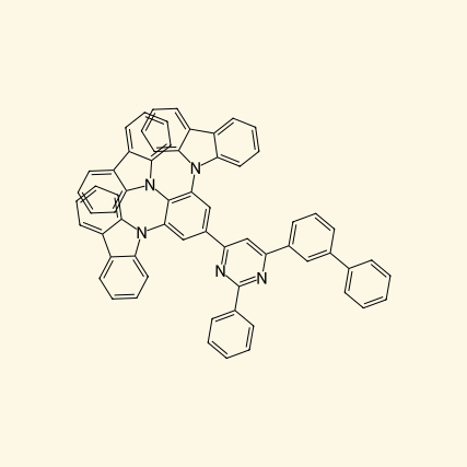 c1ccc(-c2cccc(-c3cc(-c4cc(-n5c6ccccc6c6ccccc65)c(-n5c6ccccc6c6ccccc65)c(-n5c6ccccc6c6ccccc65)c4)nc(-c4ccccc4)n3)c2)cc1